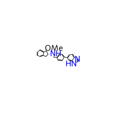 CO[C@H]1c2ccccc2C[C@H]1NCc1ccc(-c2ccc3nc[nH]c3c2)cc1